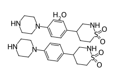 O.O=S1(=O)CCC(c2ccc(N3CCNCC3)cc2)CN1.O=S1(=O)CCC(c2ccc(N3CCNCC3)cc2)CN1